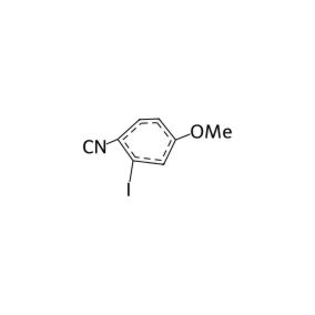 [C-]#[N+]c1ccc(OC)cc1I